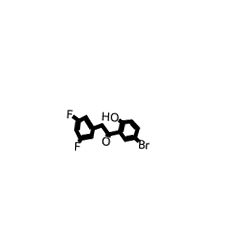 O=C(Cc1cc(F)cc(F)c1)c1cc(Br)ccc1O